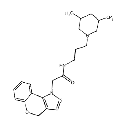 CC1CC(C)CN(CCCNC(=O)Cn2ncc3c2-c2ccccc2OC3)C1